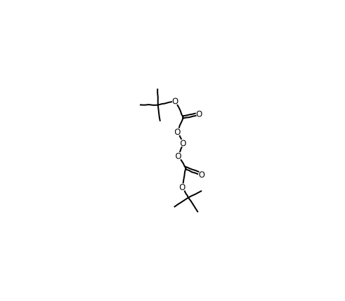 CC(C)(C)OC(=O)OOOC(=O)OC(C)(C)C